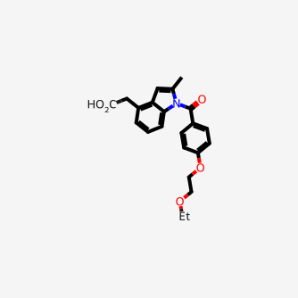 CCOCCOc1ccc(C(=O)n2c(C)cc3c(CC(=O)O)cccc32)cc1